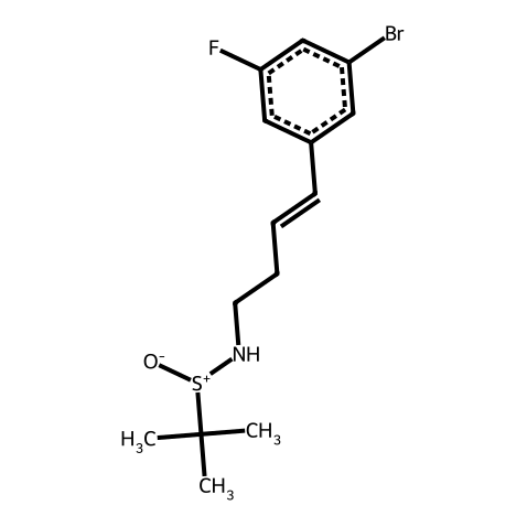 CC(C)(C)[S+]([O-])NCCC=Cc1cc(F)cc(Br)c1